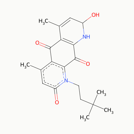 CC1=CC(O)NC2=C1C(=O)c1c(C)cc(=O)n(CCC(C)(C)C)c1C2=O